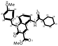 COC(=O)c1cc2c(NC(=O)C3CCCCC3)cccc2n(Cc2ccc(OC)cc2)c1=O